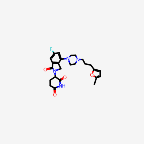 Cc1ccc(CCCN2CCN(c3cc(F)cc4c3CN(C3CCC(=O)NC3=O)C4=O)CC2)o1